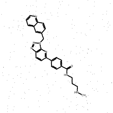 CNCCCNC(=O)c1ccc(-c2ccc3nnn(Cc4ccc5ncccc5c4)c3n2)cc1